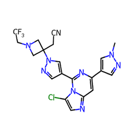 Cn1cc(-c2cc3ncc(Cl)n3c(-c3cnn(C4(CC#N)CN(CC(F)(F)F)C4)c3)n2)cn1